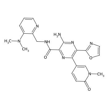 CN(C)c1cccnc1CNC(=O)c1nc(-c2ccc(=O)n(C)c2)c(-c2ncco2)nc1N